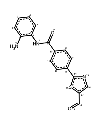 Nc1ccccc1NC(=O)c1ccc(-c2ncc(C=O)s2)cc1